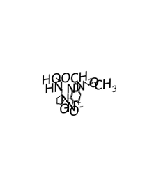 COCCn1c(C)nc2c(N3CCCC3CNC(=O)O)c([N+](=O)[O-])ccc21